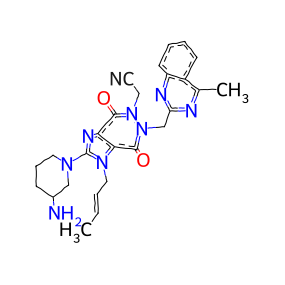 C/C=C/Cn1c(N2CCCC(N)C2)nc2c(=O)n(CC#N)n(Cc3nc(C)c4ccccc4n3)c(=O)c21